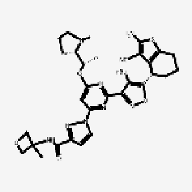 CCCCc1c(-c2nc(O[C@@H](C)[C@@H]3CCCN3C)cc(-n3ccc(C(=O)NC4(C)COC4)n3)n2)noc1[C@H]1CCCc2sc(N)c(C#N)c21